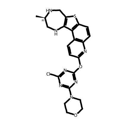 C[C@@H]1CNc2c(sc3ccc4nc(Oc5nc(Cl)nc(N6CCOCC6)n5)ccc4c23)CN1